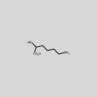 CCCCC(CCCCN)C(=O)O